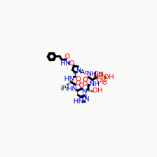 CC(=O)N1C[C@H](ONC(=O)CCc2ccccc2)C[C@H]1C(=O)N[C@@H](CC(C)C)C(=O)N[C@@H](Cc1cnc[nH]1)C(=O)N[C@@H](CO)C(=O)N[C@H](C(N)=O)[C@@H](C)OP(=O)(O)O